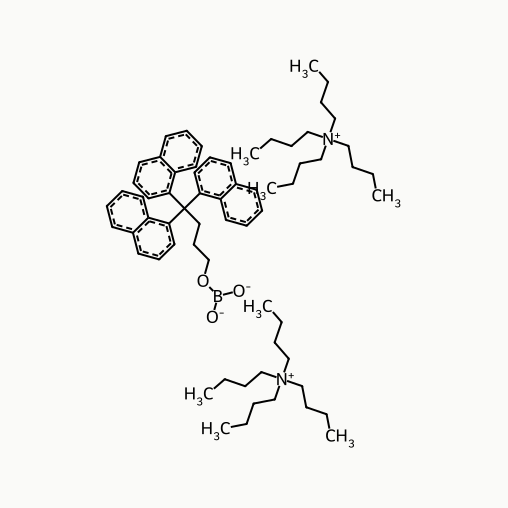 CCCC[N+](CCCC)(CCCC)CCCC.CCCC[N+](CCCC)(CCCC)CCCC.[O-]B([O-])OCCCC(c1cccc2ccccc12)(c1cccc2ccccc12)c1cccc2ccccc12